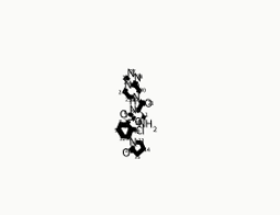 NC[C@H](NS(=O)(=O)c1cccc(N2CCCC2=O)c1Cl)C(=O)N1CCn2cnnc2C1